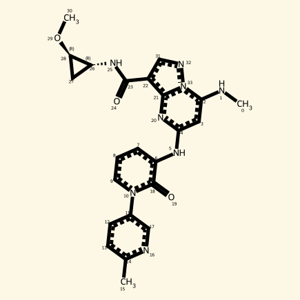 CNc1cc(Nc2cccn(-c3ccc(C)nc3)c2=O)nc2c(C(=O)N[C@@H]3C[C@H]3OC)cnn12